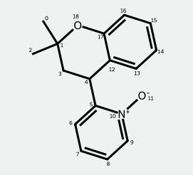 CC1(C)CC(c2cccc[n+]2[O-])c2ccccc2O1